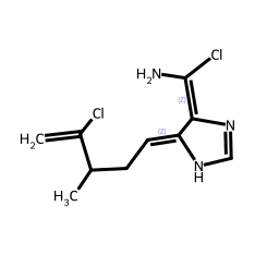 C=C(Cl)C(C)C/C=c1\[nH]cn\c1=C(\N)Cl